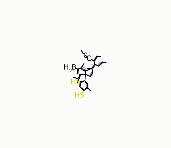 BC(=C)/C(C)=C(/C)C(C=C(C)C)(\C=C/C(C)=C(\C=C\C)C(=C\C)/CCCC)c1cc(C)c(S)cc1S